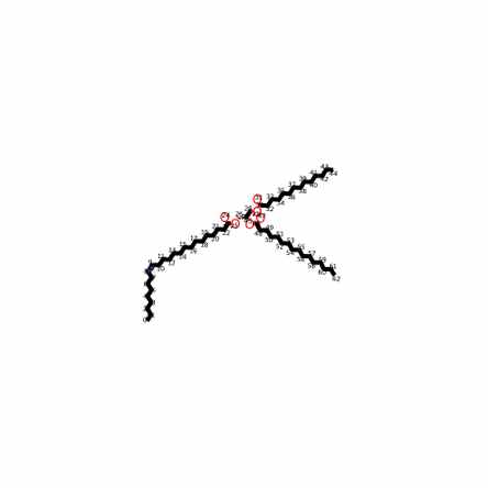 CCCCCCCC/C=C\CCCCCCCCCCCCCC(=O)OC[C@H](COC(=O)CCCCCCCCCCCCC)OC(=O)CCCCCCCCCCCCCCC